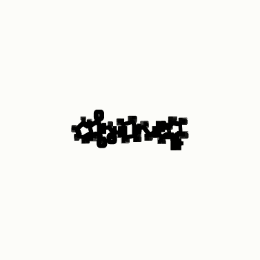 O=C(CN1C(=O)c2ccccc2C1=O)N1CCN(CCn2cc3c(Br)cccc3n2)CC1